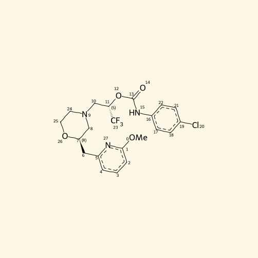 COc1cccc(C[C@@H]2CN(C[C@H](OC(=O)Nc3ccc(Cl)cc3)C(F)(F)F)CCO2)n1